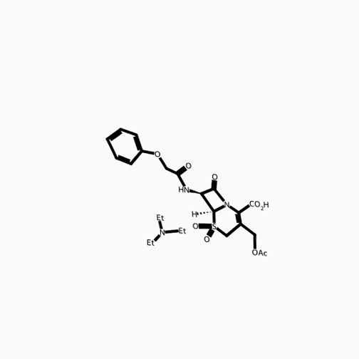 CC(=O)OCC1=C(C(=O)O)N2C(=O)[C@H](NC(=O)COc3ccccc3)[C@@H]2S(=O)(=O)C1.CCN(CC)CC